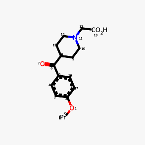 CC(C)Oc1ccc(C(=O)C2CCN(CC(=O)O)CC2)cc1